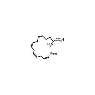 CCCCC/C=C\C/C=C\C/C=C\C/C=C\CCC(N)C(=O)O